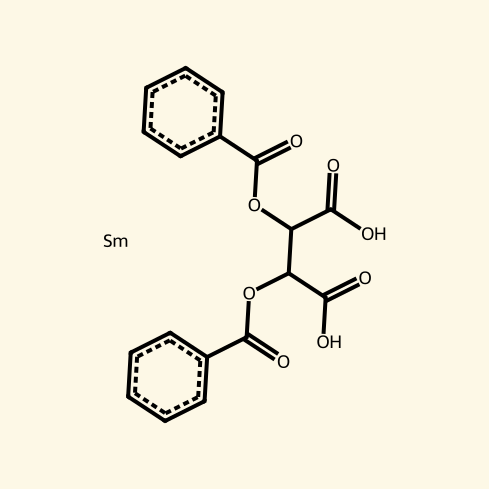 O=C(OC(C(=O)O)C(OC(=O)c1ccccc1)C(=O)O)c1ccccc1.[Sm]